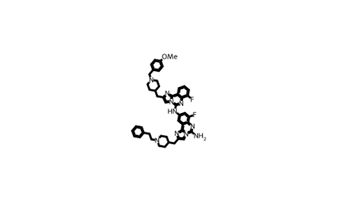 COc1ccc(CN2CCC(Cc3cn4c(Nc5cc(F)c6nc(N)n7cc(CC8CCN(CCc9ccccc9)CC8)nc7c6c5)nc5c(F)cccc5c4n3)CC2)cc1